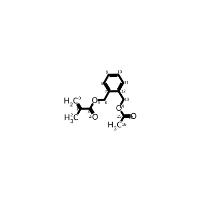 C=C(C)C(=O)OCc1ccccc1COC(C)=O